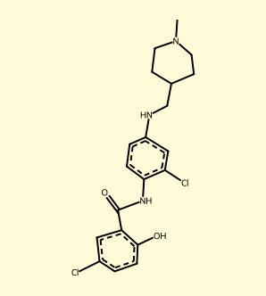 CN1CCC(CNc2ccc(NC(=O)c3cc(Cl)ccc3O)c(Cl)c2)CC1